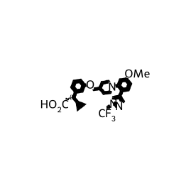 COc1ccc(-c2cnn(CC(F)(F)F)c2)c(N2CCC(COc3cccc([C@@H](CC(=O)O)C4CC4)c3)CC2)c1